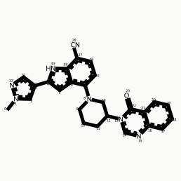 Cn1cc(-c2cc3c(N4CCCC(n5cnc6ccccc6c5=O)C4)ccc(C#N)c3[nH]2)cn1